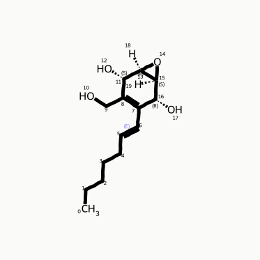 CCCCC/C=C/C1=C(CO)[C@H](O)[C@H]2O[C@H]2[C@@H]1O